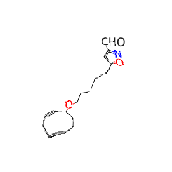 O=Cc1cc(CCCCCOC2C#CC/C=C\C=C/2)on1